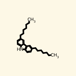 CCCCCCCc1ccc2[nH]c3ccc(CCCCCCC)cc3c2c1